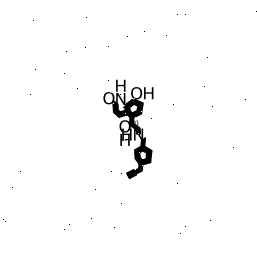 C#CCc1ccc(CNC[C@H](O)c2ccc(O)c3[nH]c(=O)ccc23)cc1